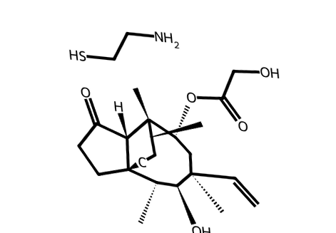 C=C[C@]1(C)C[C@@H](OC(=O)CO)[C@]2(C)[C@H](C)CC[C@]3(CCC(=O)[C@@H]32)[C@@H](C)[C@@H]1O.NCCS